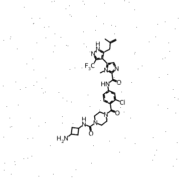 C=C(C)Cc1[nH]nc(C(F)(F)F)c1-c1cnc(C(=O)Nc2ccc(C(=O)N3CCN(C(=O)NC4CC(N)C4)CC3)c(Cl)c2)n1C